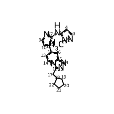 Cn1nccc1Nc1nccc(-c2ccn3c(CC4CCCC4)nnc3c2)n1